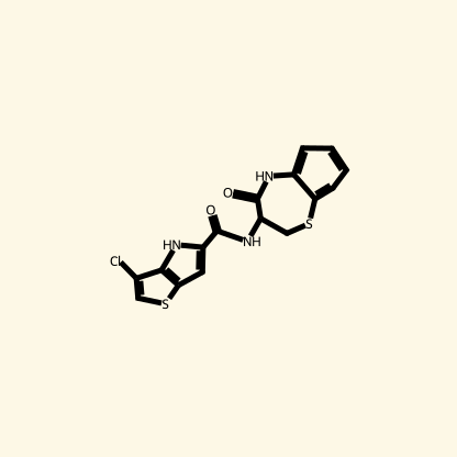 O=C(NC1CSc2ccccc2NC1=O)c1cc2scc(Cl)c2[nH]1